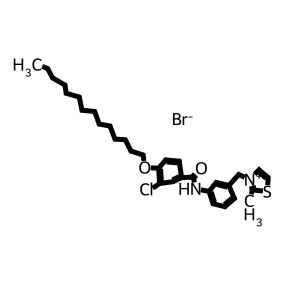 CCCCCCCCCCCCCCOc1ccc(C(=O)Nc2cccc(C[n+]3ccsc3C)c2)cc1Cl.[Br-]